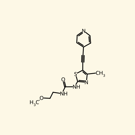 COCCNC(=O)Nc1nc(C)c(C#Cc2ccncc2)s1